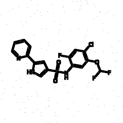 O=S(=O)(Nc1cc(OC(F)F)c(Cl)cc1F)c1c[nH]c(-c2ccccn2)c1